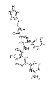 Nc1cccc(-c2ccc(Cl)c(C(=O)Nc3cc(C(=O)NCCc4cn[nH]c4)nn3-c3ccccc3)c2)n1